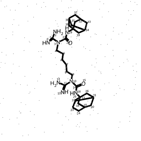 N=C(N)N(CCCCCCN(C(=N)N)C(=O)NC12CC3CC(CC(C3)C1)C2)C(=O)NC12CC3CC(CC(C3)C1)C2